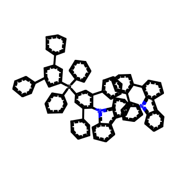 c1ccc(-c2cc(-c3ccccc3)cc([Si](c3ccccc3)(c3ccccc3)c3cc(-c4ccccc4)c(-n4c5ccccc5c5cc(-n6c7ccccc7c7cccc(-c8ccccc8-c8ccccc8)c76)ccc54)c(-c4ccccc4)c3)c2)cc1